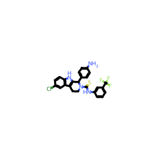 Nc1ccc(C2c3[nH]c4ccc(Cl)cc4c3CCN2C(=S)Nc2cccc(C(F)(F)F)c2)cc1